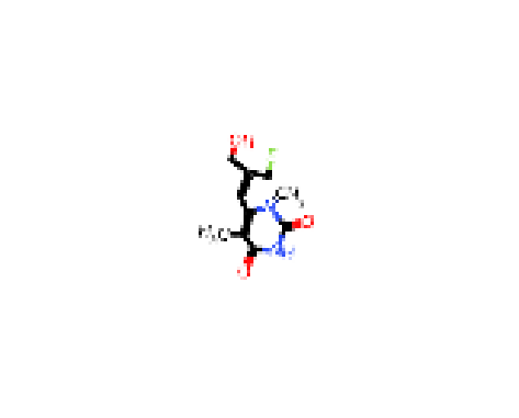 Cc1c(C=C(CO)CF)n(C)c(=O)[nH]c1=O